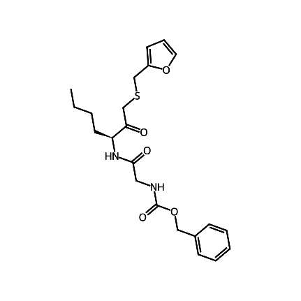 CCCC[C@H](NC(=O)CNC(=O)OCc1ccccc1)C(=O)CSCc1ccco1